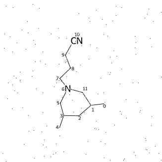 CC1CC(C)CN(CCCC#N)C1